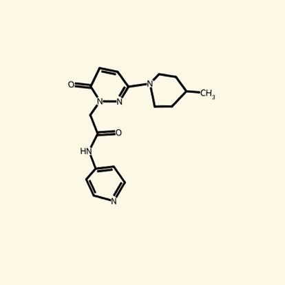 CC1CCN(c2ccc(=O)n(CC(=O)Nc3ccncc3)n2)CC1